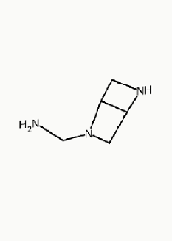 NCN1CC2NCC21